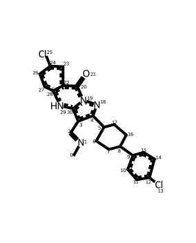 C/N=C/c1c(C2CCC(c3ccc(Cl)cc3)CC2)nn2c(=O)c3cc(Cl)ccc3[nH]c12